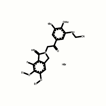 Br.CCOc1cc2c(c(F)c1OCC)C(=N)N(CC(=O)c1cc(NCC#N)c(OC)c(C(C)(C)C)c1)C2